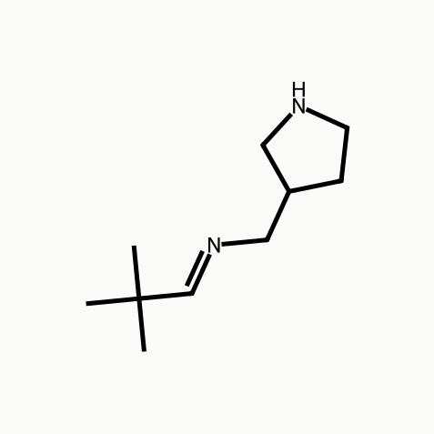 CC(C)(C)C=NCC1CCNC1